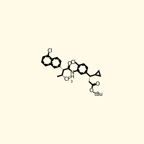 C[C@H]([C@@H](C(=O)Nc1cc([C@@H](CC(=O)OC(C)(C)C)C2CC2)ccc1Cl)c1ccc2c(Cl)cccc2c1)C(F)(F)F